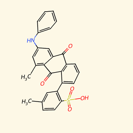 Cc1ccc(S(=O)(=O)O)c(-c2cccc3c2C(=O)c2c(C)cc(Nc4ccccc4)cc2C3=O)c1